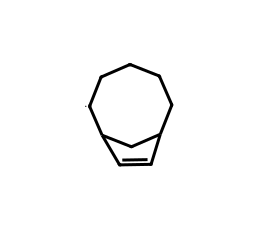 [CH]1CCCCC2C=CC1C2